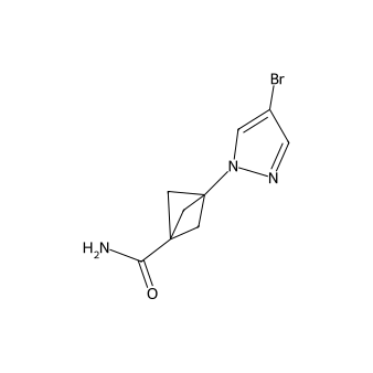 NC(=O)C12CC(n3cc(Br)cn3)(C1)C2